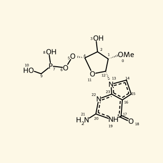 CO[C@H]1C(O)[C@@H](OOP(O)CO)O[C@H]1n1ccc2c(=O)[nH]c(N)nc21